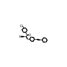 N#CC(=Cc1ccc(C#Cc2ccccc2)cc1)C(=O)c1ccc(Cl)cc1